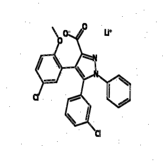 COc1ccc(Cl)cc1-c1c(C(=O)[O-])nn(-c2ccccc2)c1-c1cccc(Cl)c1.[Li+]